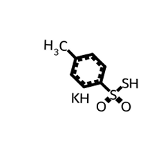 Cc1ccc(S(=O)(=O)S)cc1.[KH]